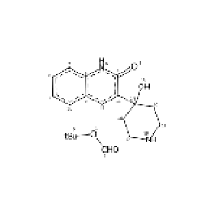 CC(C)(C)OC=O.O=c1[nH]c2ccccc2cc1C1(O)CCNCC1